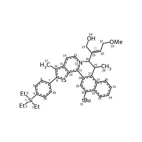 CC[Si](CC)(CC)c1ccc(-c2sc3c4[n+](ccc3c2C)C(/C(=C/COC)CO)C(C)c2c-4cc(C(C)(C)C)c3ccccc23)cc1